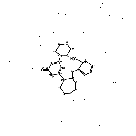 Cc1ccccc1CC1CCCCCN1c1nc(N2CCOCC2)cc(=O)[nH]1